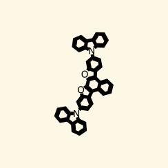 c1ccc2c(c1)c1c3ccc(-n4c5ccccc5c5ccccc54)cc3oc1c1oc3cc(-n4c5ccccc5c5ccccc54)ccc3c21